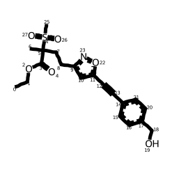 CCOC(=O)C(C)(CCc1cc(C#Cc2ccc(CO)cc2)on1)S(C)(=O)=O